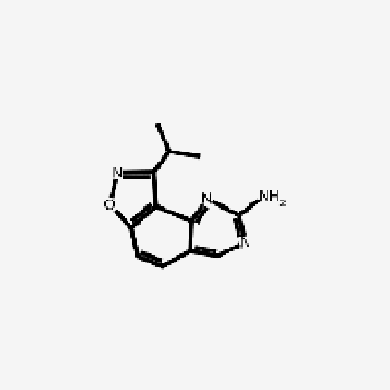 CC(C)c1noc2ccc3cnc(N)nc3c12